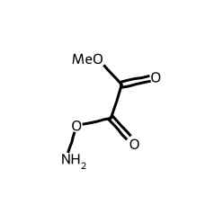 COC(=O)C(=O)ON